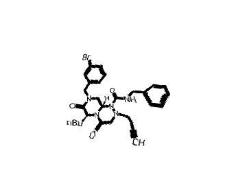 C#CCN1CC(=O)N2[C@@H](CCCC)C(=O)N(Cc3cccc(Br)c3)C[C@@H]2N1C(=O)NCc1ccccc1